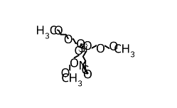 COCCOCCO[Si](CCCN=C=O)(OCCOCCOC)OCCOCCOC